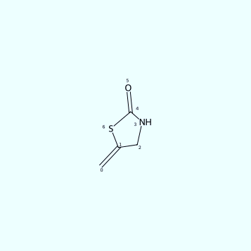 C=C1CNC(=O)S1